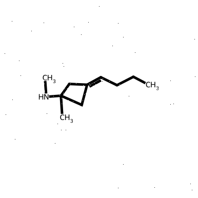 CCCC=C1CC(C)(NC)C1